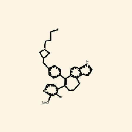 COc1nccc(C2=C(c3ccc(CC4CN(CCCF)C4)cc3)c3ccc4[nH]ccc4c3CCC2)c1F